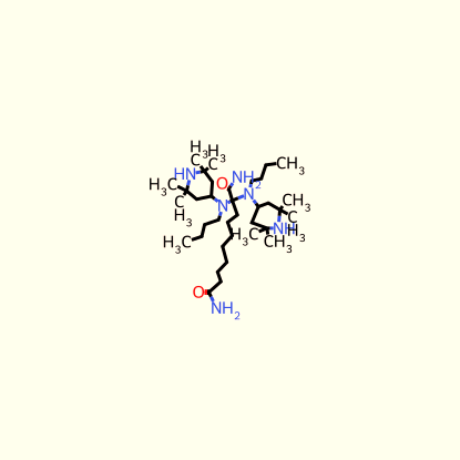 CCCCN(C1CC(C)(C)NC(C)(C)C1)C(CCCCCCCC(N)=O)(C(N)=O)N(CCCC)C1CC(C)(C)NC(C)(C)C1